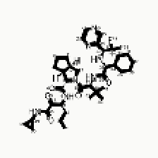 CCC[C@H](NC(=O)[C@@H]1[C@H]2CCC[C@H]2CN1C(=O)[C@@H](NC(=O)[C@@H](N[C@@H](c1cnccn1)C(F)(F)F)C1CCCCC1)C(C)(C)C)C(=O)C(=O)NC1CC1